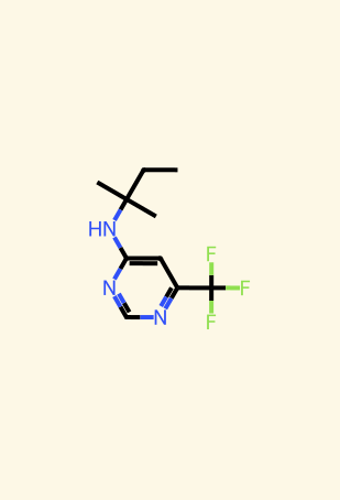 CCC(C)(C)Nc1cc(C(F)(F)F)ncn1